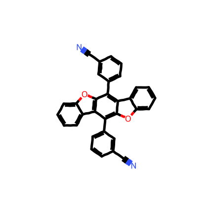 N#Cc1cccc(-c2c3oc4ccccc4c3c(-c3cccc(C#N)c3)c3oc4ccccc4c23)c1